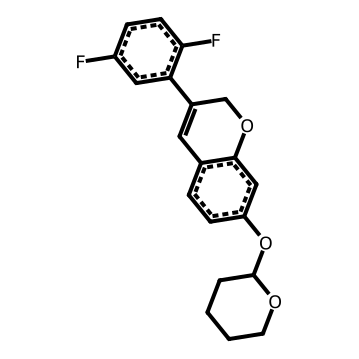 Fc1ccc(F)c(C2=Cc3ccc(OC4CCCCO4)cc3OC2)c1